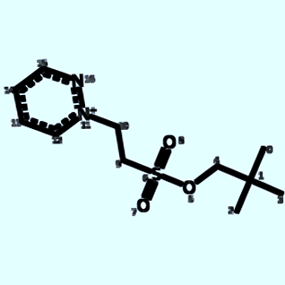 CC(C)(C)COS(=O)(=O)CC[n+]1ccccn1